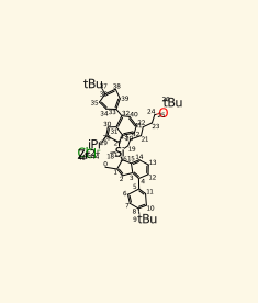 CC1=Cc2c(-c3ccc(C(C)(C)C)cc3)cccc2C1[Si](C)(CCCCCCOC(C)(C)C)C1C(C(C)C)=Cc2c(-c3ccc(C(C)(C)C)cc3)cccc21.[Cl-].[Cl-].[Zr+2]